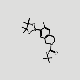 Cc1cc2c(cc1B1OC(C)(C)C(C)(C)O1)CN(C(=O)OC(C)(C)C)CC2